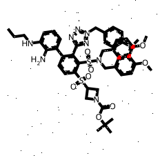 CCCNc1cccc(-c2ccc(S(=O)(=O)C3CN(C(=O)OC(C)(C)C)C3)c(S(=O)(=O)N(Cc3ccc(OC)cc3)Cc3ccc(OC)cc3)c2-c2nnn(Cc3ccc(OC)cc3)n2)c1N